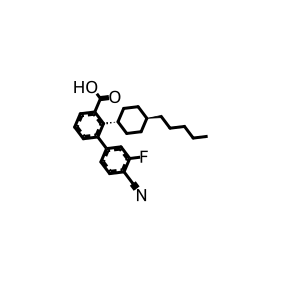 CCCCC[C@H]1CC[C@H](c2c(C(=O)O)cccc2-c2ccc(C#N)c(F)c2)CC1